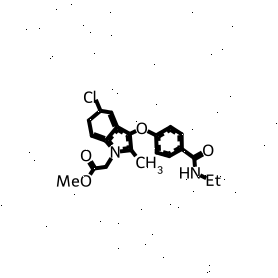 CCNC(=O)c1ccc(Oc2c(C)n(CC(=O)OC)c3c2=CC(Cl)CC=3)cc1